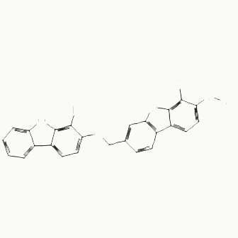 Fc1c(OS)ccc2c1oc1cc(COc3ccc4c(oc5ccccc54)c3F)ccc12